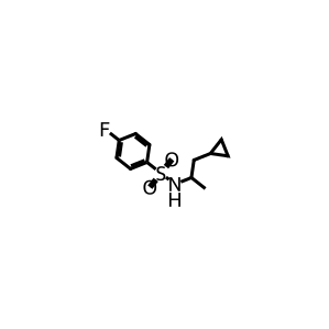 CC(CC1CC1)NS(=O)(=O)c1ccc(F)cc1